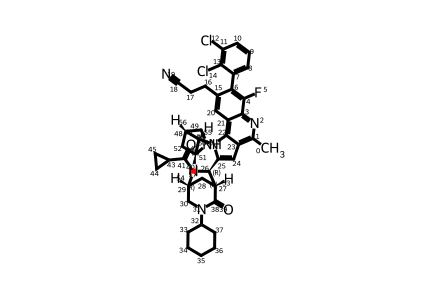 Cc1nc2c(F)c(-c3cccc(Cl)c3Cl)c(CCC#N)cc2c2c1cc([C@H]1[C@H]3C[C@H](CN(C4CCCCC4)C3=O)N1C(=O)C1CC1)n2[C@H]1[C@H]2CN[C@@H]1C2